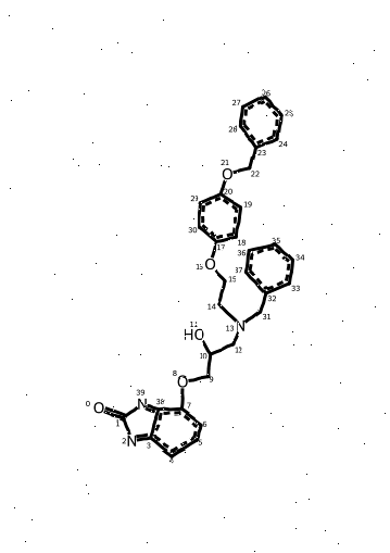 O=C1N=c2cccc(OCC(O)CN(CCOc3ccc(OCc4ccccc4)cc3)Cc3ccccc3)c2=N1